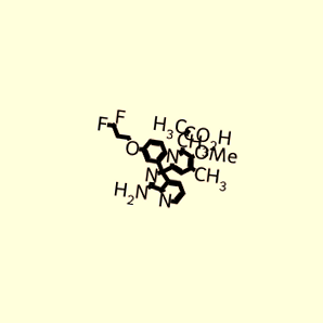 CC(=O)O.COc1c(C)cc(C2(c3cccc(OCCC(F)F)c3)N=C(N)c3ncccc32)nc1C